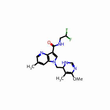 COC1=C(C)C(Cn2cc(C(=O)NCC(F)F)c3ncc(C)cc32)NC=N1